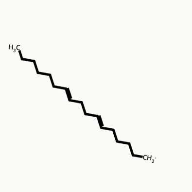 [CH2]CCCCC=CCCC=CCCCCCC